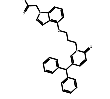 O=C(O)Cn1ccc2c(OCCCn3cc(C(c4ccccc4)c4ccccc4)ccc3=O)cccc21